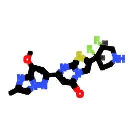 COc1cc(-c2cc(=O)n3cc([C@]4(F)CCNC[C@H]4F)sc3n2)nn2cc(C)nc12